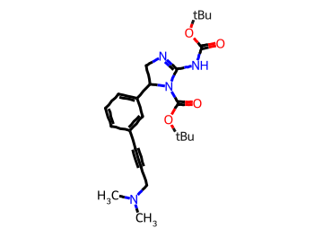 CN(C)CC#Cc1cccc(C2CN=C(NC(=O)OC(C)(C)C)N2C(=O)OC(C)(C)C)c1